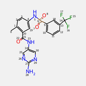 Cc1ccc(NS(=O)(=O)c2cccc(C(F)(F)F)c2)cc1C(=O)Nc1cnc(N)nc1